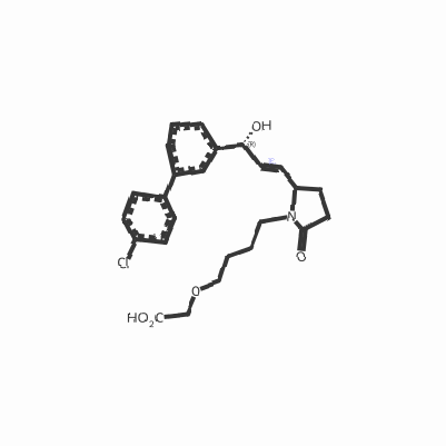 O=C(O)COCCCCN1C(=O)CCC1/C=C/[C@@H](O)c1cccc(-c2ccc(Cl)cc2)c1